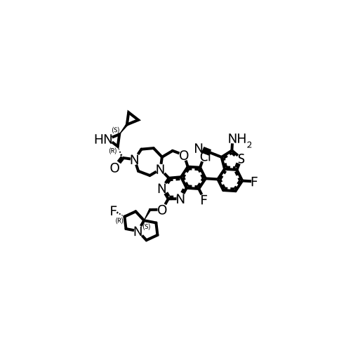 N#Cc1c(N)sc2c(F)ccc(-c3c(Cl)c4c5c(nc(OC[C@@]67CCCN6C[C@H](F)C7)nc5c3F)N3CCN(C(=O)[C@@H]5N[C@H]5C5CC5)CCC3CO4)c12